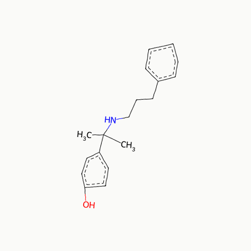 CC(C)(NCCCc1ccccc1)c1ccc(O)cc1